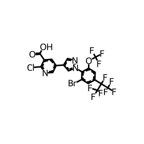 O=C(O)c1cc(-c2cnn(-c3c(Br)cc(C(F)(C(F)(F)F)C(F)(F)F)cc3OC(F)(F)F)c2)cnc1Cl